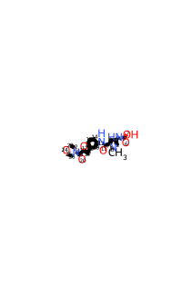 Cn1cc(NC(=O)O)cc1C(=O)Nc1ccc2oc(C(=O)N3CCOCC3)cc2c1